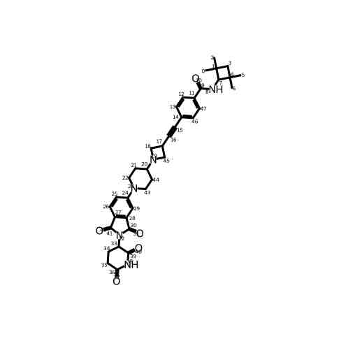 CC1(C)CC(C)(C)C1NC(=O)c1ccc(C#CC2CN(C3CCN(c4ccc5c(c4)C(=O)N(C4CCC(=O)NC4=O)C5=O)CC3)C2)cc1